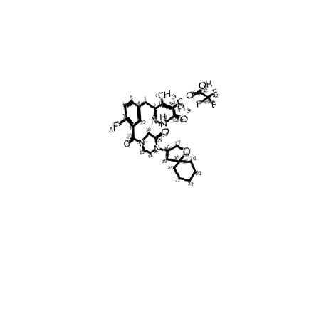 Cc1c(Cc2ccc(F)c(C(=O)N3CCN(C4COC5(CCCCC5)C4)C(=O)C3)c2)n[nH]c(=O)c1C.O=C(O)C(F)(F)F